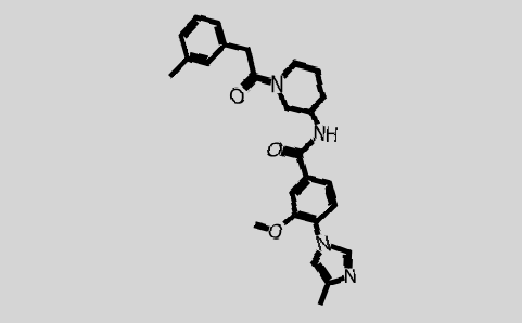 COc1cc(C(=O)NC2CCCN(C(=O)Cc3cccc(C)c3)C2)ccc1-n1cnc(C)c1